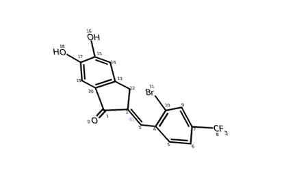 O=C1/C(=C/c2ccc(C(F)(F)F)cc2Br)Cc2cc(O)c(O)cc21